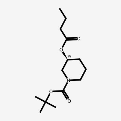 CCCC(=O)O[C@H]1CCCN(C(=O)OC(C)(C)C)C1